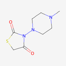 CN1CCN(N2C(=O)CSC2=O)CC1